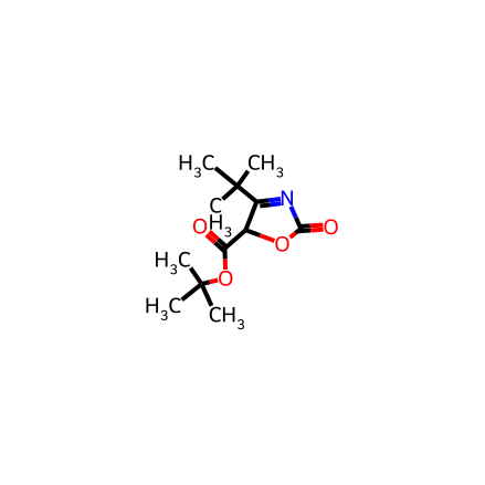 CC(C)(C)OC(=O)C1OC(=O)N=C1C(C)(C)C